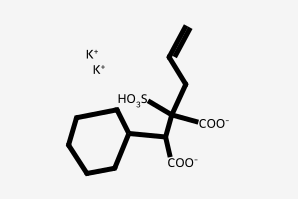 C=CCC(C(=O)[O-])(C(C(=O)[O-])C1CCCCC1)S(=O)(=O)O.[K+].[K+]